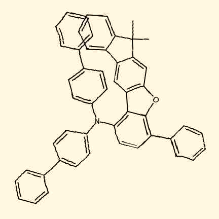 CC1(C)c2ccccc2-c2cc3c(cc21)oc1c(-c2ccccc2)ccc(N(c2ccc(-c4ccccc4)cc2)c2ccc(-c4ccccc4)cc2)c13